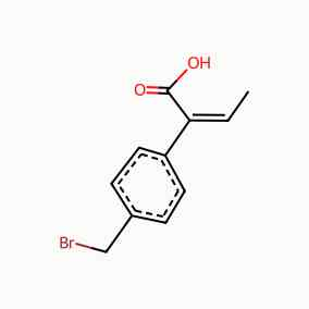 CC=C(C(=O)O)c1ccc(CBr)cc1